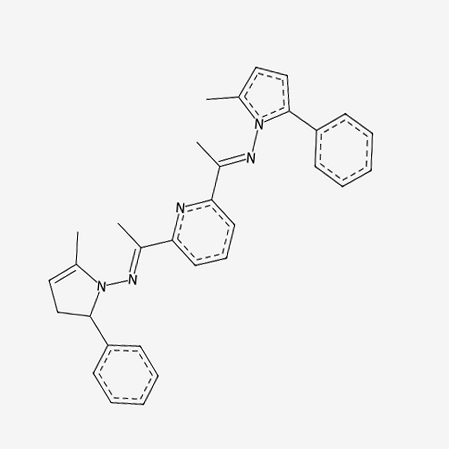 CC1=CCC(c2ccccc2)N1/N=C(\C)c1cccc(/C(C)=N/n2c(C)ccc2-c2ccccc2)n1